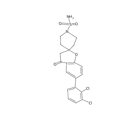 NS(=O)(=O)N1CCC2(CC1)CC(=O)c1cc(-c3cccc(Cl)c3Cl)ccc1O2